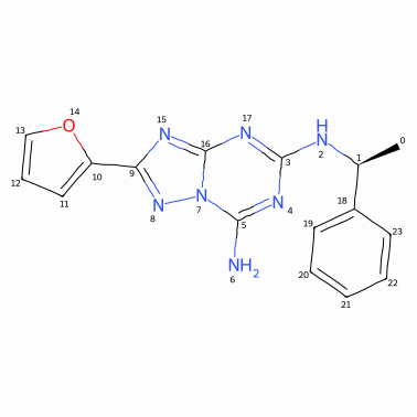 C[C@H](Nc1nc(N)n2nc(-c3ccco3)nc2n1)c1ccccc1